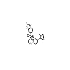 Cc1nc2ccc(S(=O)(=O)N3CCSc4ccc(-c5c(C)noc5C)cc43)cc2s1